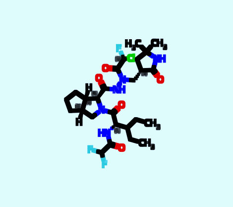 CCC(CC)[C@H](NC(=O)C(F)F)C(=O)N1C[C@@H]2CCC[C@@H]2[C@H]1C(=O)NN(C[C@@H]1CC(C)(C)NC1=O)C(=O)[C@@H](F)Cl